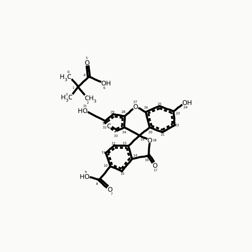 CC(C)(C)C(=O)O.O=C(O)c1ccc2c(c1)C(=O)OC21c2ccc(O)cc2Oc2cc(O)ccc21